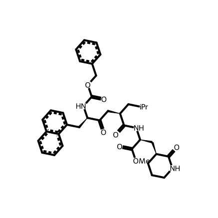 COC(=O)[C@H](C[C@@H]1CCCNC1=O)NC(=O)[C@@H](CC(=O)[C@@H](Cc1cccc2ccccc12)NC(=O)OCc1ccccc1)CC(C)C